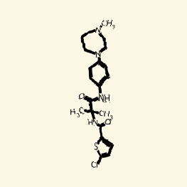 CN1CCCN(c2ccc(NC(=O)C(C)(C)NC(=O)c3ccc(Cl)s3)cc2)CC1